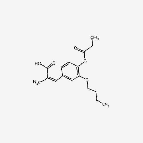 CCCCOc1cc(C=C(C)C(=O)O)ccc1OC(=O)CC